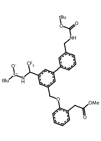 COC(=O)Cc1ccccc1OCc1cc(-c2cccc(CNC(=O)OC(C)(C)C)c2)cc(C(N[S+]([O-])C(C)(C)C)C(F)(F)F)c1